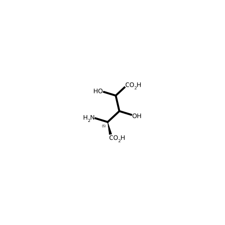 N[C@H](C(=O)O)C(O)C(O)C(=O)O